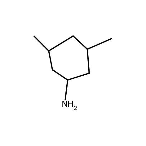 CC1CC(C)CC(N)C1